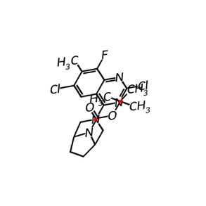 Cc1c(Cl)cc2c(N3CC4CCC(C3)N4C(=O)OC(C)(C)C)nc(Cl)nc2c1F